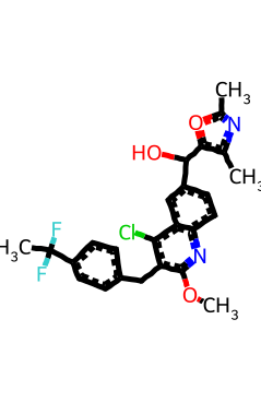 COc1nc2ccc(C(O)c3oc(C)nc3C)cc2c(Cl)c1Cc1ccc(C(C)(F)F)cc1